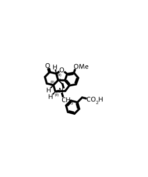 COc1ccc2c3c1O[C@H]1C(=O)CC[C@H]4[C@@H](C2)N(C)CC[C@]314.O=C(O)Cc1ccccc1